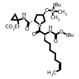 C/C=C\CCCCC[C@H](NC(=O)OC(C)(C)C)C(=O)N1C[C@H](O[Si](C)(C)C(C)(C)C)C[C@H]1C(=O)NC1(C(=O)OCC)CC1